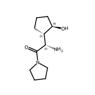 N[C@H](C(=O)N1CCCC1)[C@@H]1CCC[C@H]1O